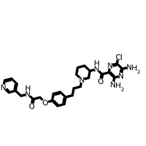 Nc1nc(N)c(C(=O)NC2CCCN(CCCc3ccc(OCC(=O)NCc4cccnc4)cc3)C2)nc1Cl